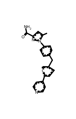 Cc1cc(C(N)=O)nn1-c1ccc(Cc2ccc(-c3ccncc3)cc2)cc1